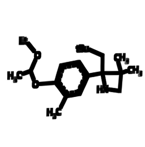 CCOC(C)Oc1ccc(C2(CC(C)(C)C)NCC2(C)C)cc1C